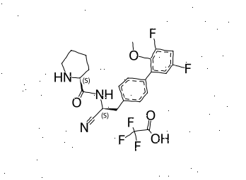 COc1c(F)cc(F)cc1-c1ccc(C[C@@H](C#N)NC(=O)[C@@H]2CCCCN2)cc1.O=C(O)C(F)(F)F